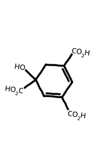 O=C(O)C1=CC(O)(C(=O)O)CC(C(=O)O)=C1